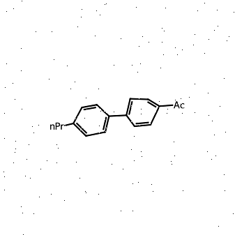 CCCc1ccc(-c2ccc(C(C)=O)cc2)cc1